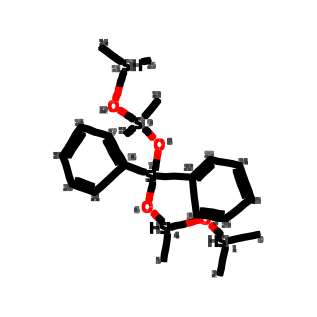 C[SiH](C)O[SiH](C)O[Si](O[Si](C)(C)O[SiH](C)C)(c1ccccc1)c1ccccc1